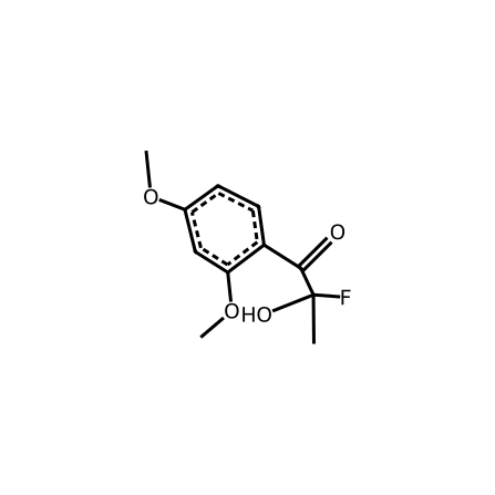 COc1ccc(C(=O)C(C)(O)F)c(OC)c1